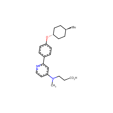 CN(CCC(=O)O)c1ccnc(-c2ccc(O[C@H]3CC[C@H](C(C)(C)C)CC3)cc2)c1